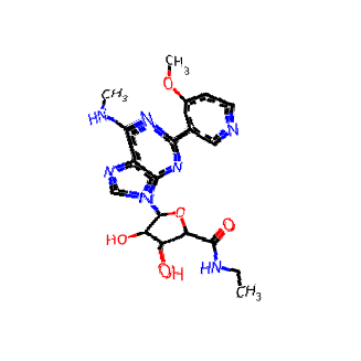 CCNC(=O)C1OC(n2cnc3c(NC)nc(-c4cnccc4OC)nc32)C(O)C1O